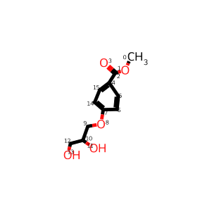 COC(=O)c1ccc(OCC(O)CO)cc1